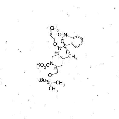 C=CCON([C@H]1CN(C(=O)O)[C@H](CO[Si](C)(C)C(C)(C)C)C=C1C)S(=O)(=O)c1ccccc1[N+](=O)[O-]